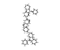 c1ccc(-n2c3ccccc3c3ccc(-c4cc5sc6ccc(-c7ccc8c9ccccc9n(-c9ccccc9)c8c7)nc6c5cn4)cc32)cc1